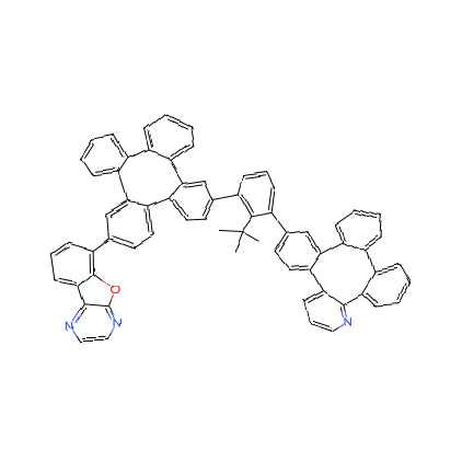 CC(C)(C)c1c(-c2ccc3c(c2)-c2ccccc2-c2ccccc2-c2cc(-c4cccc5c4oc4nccnc45)ccc2-3)cccc1-c1ccc2c(c1)-c1ccccc1-c1ccccc1-c1ncccc1-2